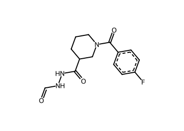 O=CNNC(=O)C1CCCN(C(=O)c2ccc(F)cc2)C1